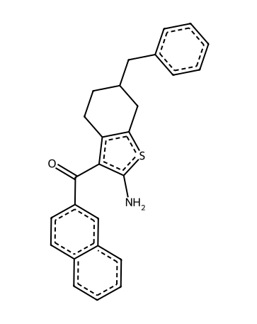 Nc1sc2c(c1C(=O)c1ccc3ccccc3c1)CCC(Cc1ccccc1)C2